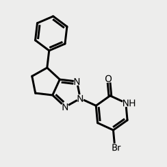 O=c1[nH]cc(Br)cc1-n1nc2c(n1)C(c1ccccc1)CC2